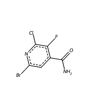 NC(=O)c1cc(Br)nc(Cl)c1F